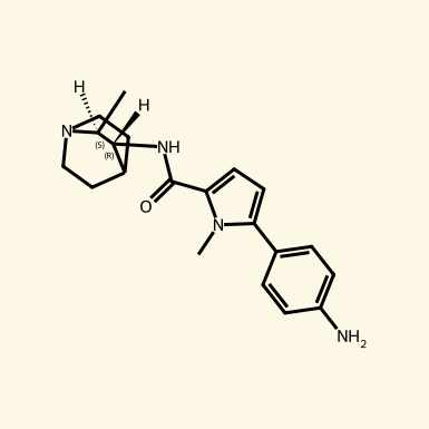 C[C@H]1[C@H](NC(=O)c2ccc(-c3ccc(N)cc3)n2C)C2CCN1CC2